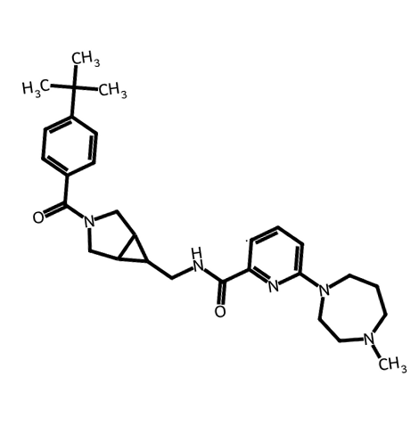 CN1CCCN(c2cc[c]c(C(=O)NCC3C4CN(C(=O)c5ccc(C(C)(C)C)cc5)CC34)n2)CC1